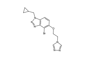 Brc1c(OCCn2cnnc2)ccc2c1nnn2CC1CC1